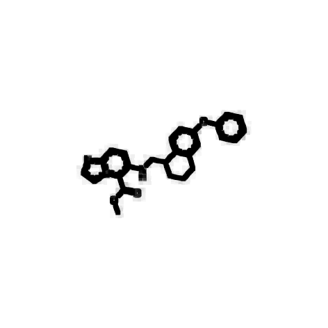 COC(=O)c1c(NCC2CCCc3cc(Oc4ccccc4)ccc32)ccc2nccn12